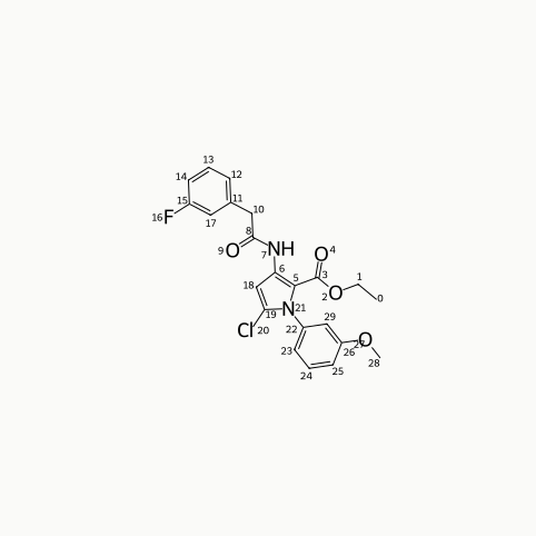 CCOC(=O)c1c(NC(=O)Cc2cccc(F)c2)cc(Cl)n1-c1cccc(OC)c1